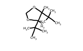 CC(C)(C)C1(C)OCOC1(C)C(C)(C)C